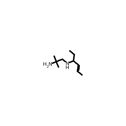 CC=CC(CC)NCC(C)(C)N